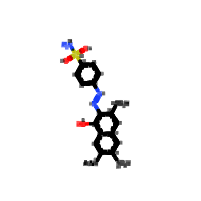 CC(=O)Nc1cc2c(O)c(N=Nc3ccc(S(N)(=O)=O)cc3)c(S(=O)(=O)O)cc2cc1S(=O)(=O)O